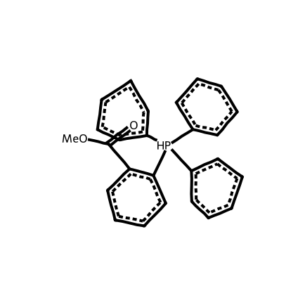 COC(=O)c1ccccc1[PH](c1ccccc1)(c1ccccc1)c1ccccc1